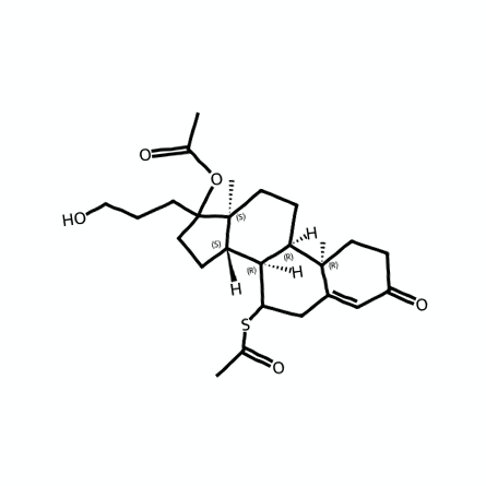 CC(=O)OC1(CCCO)CC[C@H]2[C@@H]3C(SC(C)=O)CC4=CC(=O)CC[C@]4(C)[C@@H]3CC[C@@]21C